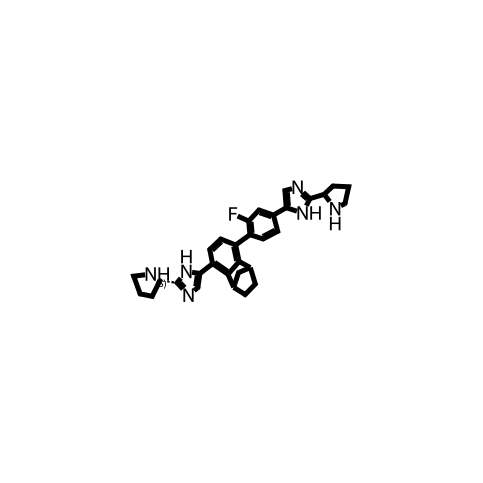 Fc1cc(-c2cnc(C3CCCN3)[nH]2)ccc1-c1ccc(-c2cnc([C@@H]3CCCN3)[nH]2)c2c1C1CCC2C1